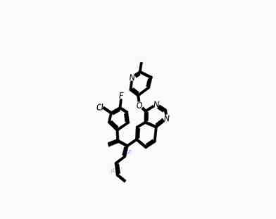 C=C(/C(=C\C=C/C)c1ccc2ncnc(Oc3ccc(C)nc3)c2c1)c1ccc(F)c(Cl)c1